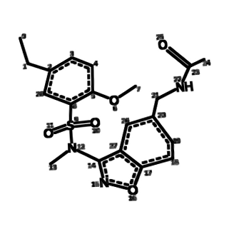 CCc1ccc(OC)c(S(=O)(=O)N(C)c2noc3ccc(CNC(C)=O)cc23)c1